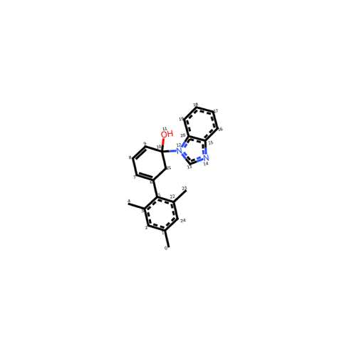 Cc1cc(C)c(C2=CC=CC(O)(n3cnc4ccccc43)C2)c(C)c1